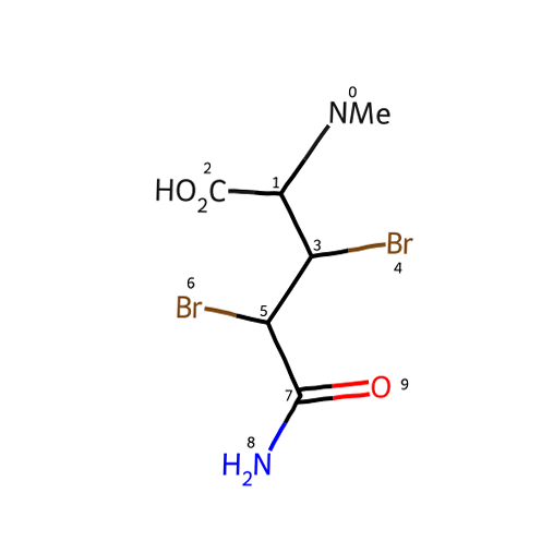 CNC(C(=O)O)C(Br)C(Br)C(N)=O